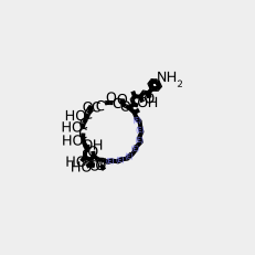 CO[C@H]1/C=C/C=C/C=C/C=C/C=C/C=C/C=C/C(C)C(C(C)CC(C)C(O)CC(=O)c2ccc(N)cc2)OC(=O)CC(=O)CCCC(=O)CC(O)CC(O)CC(O)CC2(O)CC(O)[C@@H](C(=O)O)C(C1)O2